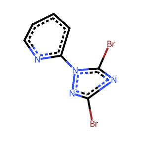 Brc1nc(Br)n(-c2ccccn2)n1